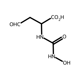 O=CCC(NC(=O)NO)C(=O)O